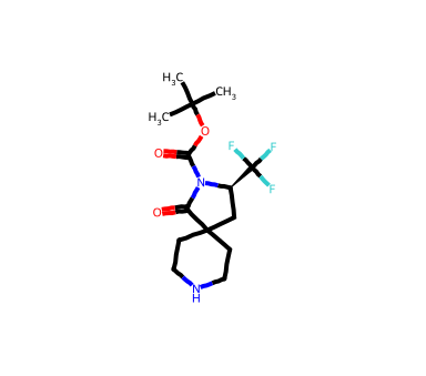 CC(C)(C)OC(=O)N1C(=O)C2(CCNCC2)C[C@@H]1C(F)(F)F